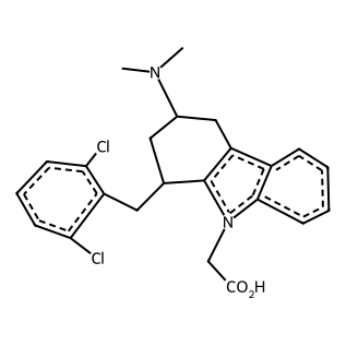 CN(C)C1Cc2c(n(CC(=O)O)c3ccccc23)C(Cc2c(Cl)cccc2Cl)C1